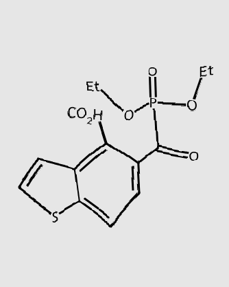 CCOP(=O)(OCC)C(=O)c1ccc2sccc2c1C(=O)O